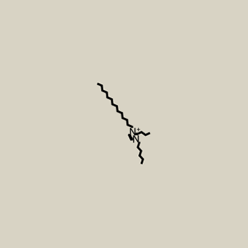 CCCCCCCCCCCCCC[n+]1ccn(CCCCCC)c1CCC